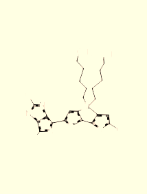 CCCCCC[Si]1(CCCCCC)c2cc(C)sc2-c2sc(-c3sc(C)c4[nH]c(C)nc34)cc21